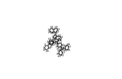 c1ccc(-c2ccc(-n3cc(-c4cccc5ccccc45)c4ccnc(N(c5ccccc5)c5ccc(N(c6ccccc6)c6ccccc6)cc5)c43)cc2)cc1